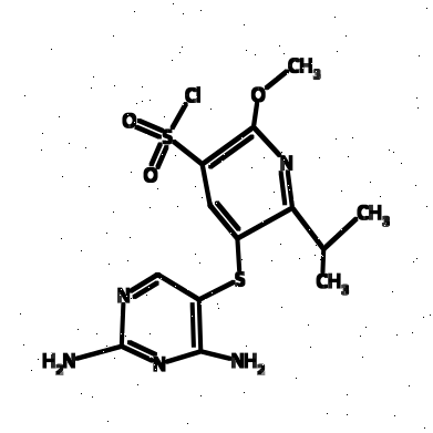 COc1nc(C(C)C)c(Sc2cnc(N)nc2N)cc1S(=O)(=O)Cl